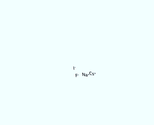 [Cs+].[F-].[I-].[Na+]